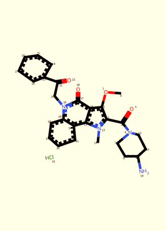 COc1c(C(=O)N2CCC(N)CC2)n(C)c2c1c(=O)n(CC(=O)c1ccccc1)c1ccccc21.Cl